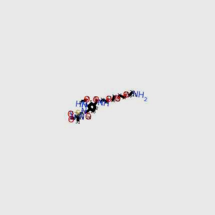 CC(=O)Nc1cc(C(=O)NCCOCCOCCOCCN)ccc1C(=O)Nc1nc(C)c([N+](=O)[O-])s1